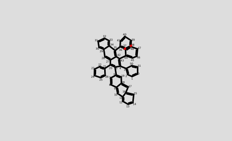 c1ccc(-c2c(-c3ccc4cc5ccccc5cc4c3)c(-c3ccccc3)c3cc4ccccc4c(-c4ccccc4)c3c2-c2ccccc2)cc1